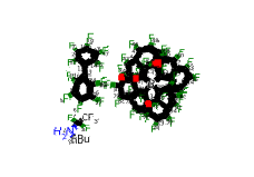 CCCC[NH2+]C(F)(F)C(F)(F)F.Fc1c(F)c(F)c(-c2c(F)c(F)c(F)c(F)c2F)c(F)c1F.Fc1c(F)c(F)c2c([B-](c3c(F)c(F)c(F)c4c(F)c(F)c(F)c(F)c34)(c3c(F)c(F)c(F)c4c(F)c(F)c(F)c(F)c34)c3c(F)c(F)c(F)c4c(F)c(F)c(F)c(F)c34)c(F)c(F)c(F)c2c1F